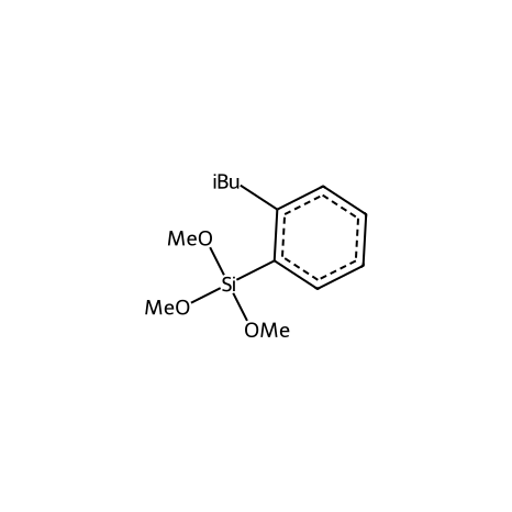 CCC(C)c1ccccc1[Si](OC)(OC)OC